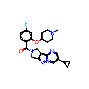 CN1CCC(Oc2cc(F)ccc2C(=O)N2Cc3nn4cc(C5CC5)cnc4c3C2)CC1